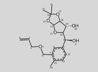 C=CCOCc1cc([C@H](O)C2OC3OC(C)(C)OC3[C@@H]2O)ccc1C